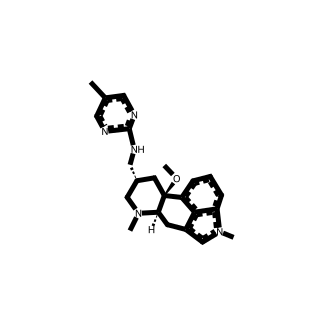 CO[C@]12C[C@@H](CNc3ncc(C)cn3)CN(C)[C@@H]1Cc1cn(C)c3cccc2c13